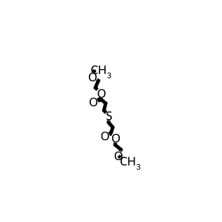 COCCOC(=O)CCSCCC(=O)OCCOC